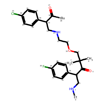 CCNCC(C(=O)C(C)(C)COCCNCC(C(=O)C(C)(C)C)c1ccc(Cl)cc1)c1ccc(F)cc1